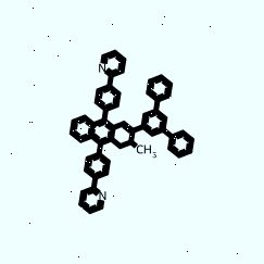 CC1Cc2c(c(-c3ccc(-c4ccccn4)cc3)c3ccccc3c2-c2ccc(-c3ccccn3)cc2)C=C1c1cc(-c2ccccc2)cc(-c2ccccc2)c1